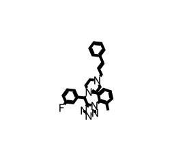 Cc1cccc(C)c1-n1nnnc1[C@@H](c1cccc(F)c1)N1CCN(C/C=C/c2ccccc2)CC1